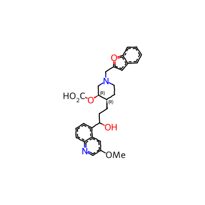 COc1cnc2cccc(C(O)CC[C@@H]3CCN(Cc4cc5ccccc5o4)C[C@@H]3OC(=O)O)c2c1